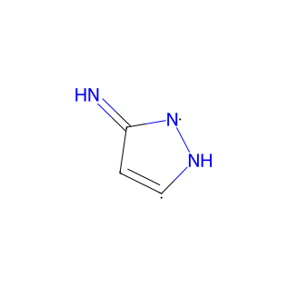 N=C1C=[C]N[N]1